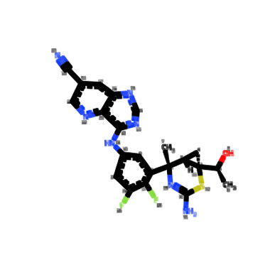 C[C@H](O)[C@]12C[C@H]1[C@@](C)(c1cc(Nc3ncnc4cc(C#N)cnc34)cc(F)c1F)N=C(N)S2